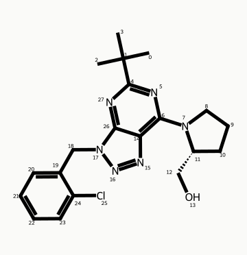 CC(C)(C)c1nc(N2CCC[C@@H]2CO)c2nnn(Cc3ccccc3Cl)c2n1